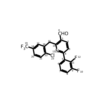 O=Cc1ccc(-c2cccc(F)c2F)nc1Cc1cc(C(F)(F)F)ccc1Cl